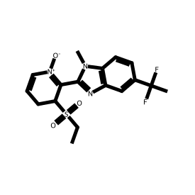 CCS(=O)(=O)C1CC=C[N+]([O-])=C1c1nc2cc(C(C)(F)F)ccc2n1C